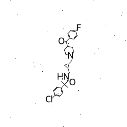 CC(C)(C(=O)NCC1CC1CN1CCC(C(=O)c2ccc(F)cc2)CC1)c1ccc(Cl)cc1